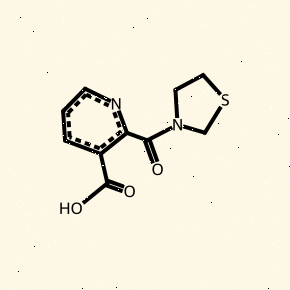 O=C(O)c1cccnc1C(=O)N1CCSC1